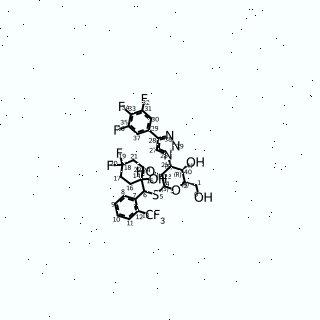 OC[C@H]1O[C@@H](SC(c2ccccc2C(F)(F)F)C2(O)CCC(F)(F)CC2)[C@H](O)[C@@H](n2cc(-c3cc(F)c(F)c(F)c3)nn2)[C@H]1O